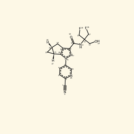 N#Cc1ccc(-n2nc(C(=O)NC(CO)(CF)CF)c3c2[C@@H]2C[C@@H]2C3)cn1